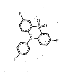 O=S1(=O)c2cc(F)ccc2[SH](c2ccc(F)cc2)c2ccc(F)cc21